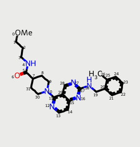 COCCCNC(=O)C1CCN(c2nccc3nc(NCc4ccccc4C)ncc23)CC1